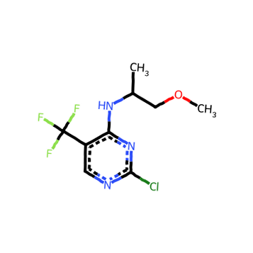 COCC(C)Nc1nc(Cl)ncc1C(F)(F)F